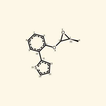 C[C@@H]1OC1Oc1ccccc1-c1cccs1